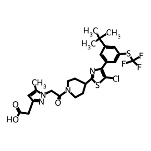 Cc1cc(CC(=O)O)nn1CC(=O)N1CCC(c2nc(-c3cc(SC(F)(F)F)cc(C(C)(C)C)c3)c(Cl)s2)CC1